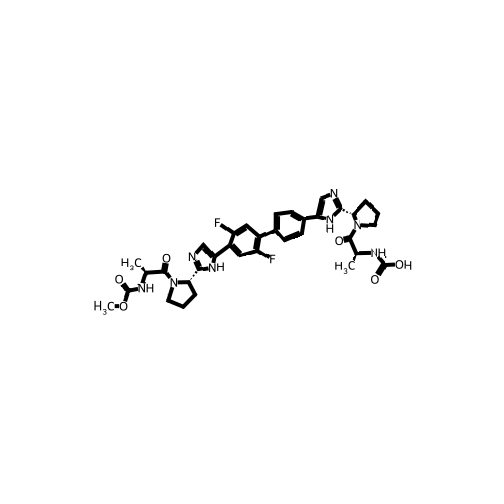 COC(=O)N[C@@H](C)C(=O)N1CCC[C@H]1c1ncc(-c2cc(F)c(-c3ccc(-c4cnc([C@@H]5CCCN5C(=O)[C@H](C)NC(=O)O)[nH]4)cc3)cc2F)[nH]1